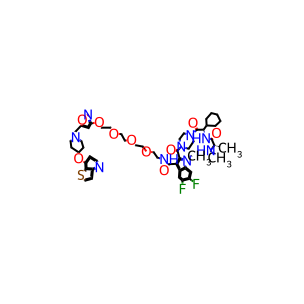 CN[C@@H](C)C(=O)N[C@H](C(=O)N1CCN(C(=O)c2c(C(=O)NCCOCCOCCOCCOc3cc(CN4CCC(Oc5ccnc6ccsc56)CC4)on3)c3cc(F)c(F)cc3n2C)CC1)C1CCCCC1